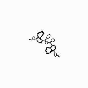 CCOc1ccc(C(=O)OC(=O)c2ccc(OCC)c3ccccc23)c2ccccc12